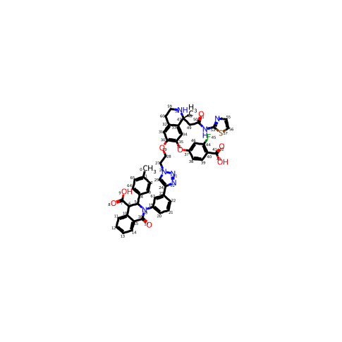 Cc1ccc(C2C(C(=O)O)c3ccccc3C(=O)N2c2cccc(-c3cn(CCOc4cc5c(cc4Oc4ccc(C(=O)O)c(F)c4)[C@@](C)(CC(=O)Nc4nccs4)NCC5)nn3)c2)cc1